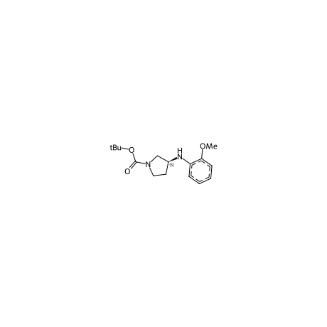 COc1ccccc1N[C@H]1CCN(C(=O)OC(C)(C)C)C1